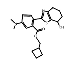 CN(C)c1ccc(-c2nc3c(s2)C(O)CCC3)c(C(=O)OCC2CCC2)c1